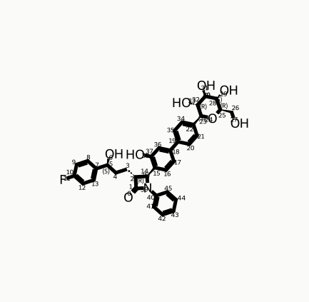 O=C1[C@H](CC[C@H](O)c2ccc(F)cc2)[C@@H](c2ccc(-c3ccc([C@@H]4O[C@H](CO)[C@@H](O)[C@H](O)[C@H]4O)cc3)cc2O)N1c1ccccc1